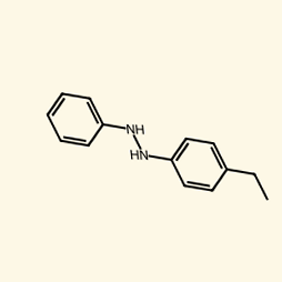 CCc1ccc(NNc2ccccc2)cc1